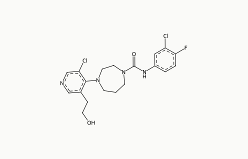 O=C(Nc1ccc(F)c(Cl)c1)N1CCCN(c2c(Cl)cncc2CCO)CC1